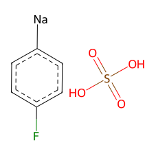 Fc1cc[c]([Na])cc1.O=S(=O)(O)O